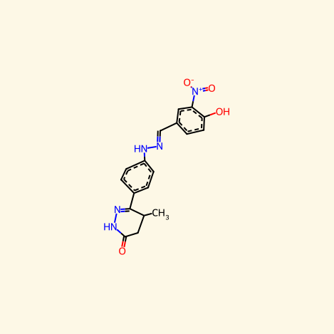 CC1CC(=O)NN=C1c1ccc(NN=Cc2ccc(O)c([N+](=O)[O-])c2)cc1